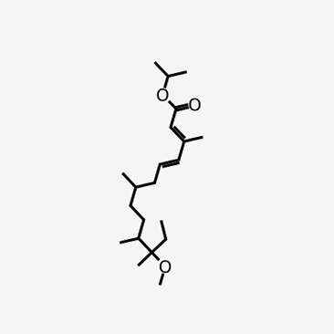 CCC(C)(OC)C(C)CCC(C)CC=CC(C)=CC(=O)OC(C)C